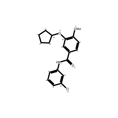 COc1ccc(C(=O)Nc2cccc(Cl)c2)cc1OC1CCCC1